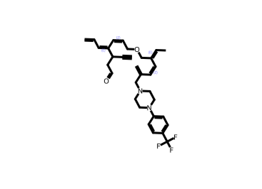 C#CC(CC=O)C(/C=C\COCC(/C=C\C(=C)CN1CCN(c2ccc(C(F)(F)F)cc2)CC1)=C/C)=C/C=C